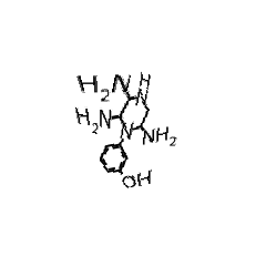 NC1NCC(N)N(c2cccc(O)c2)C1N